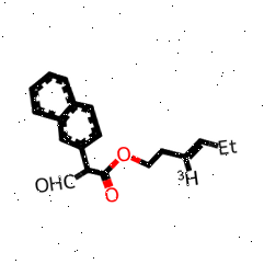 [3H]C(=CCC)CCOC(=O)C(C=O)c1ccc2ccccc2c1